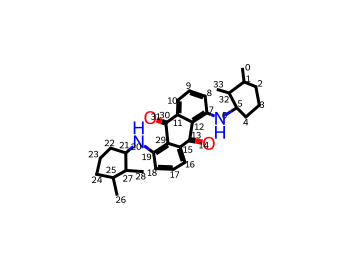 CC1CCCC(Nc2cccc3c2C(=O)c2cccc(NC4CCCC(C)C4C)c2C3=O)C1C